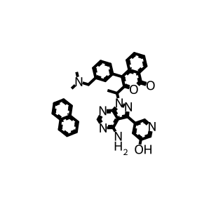 CC(c1oc(=O)c2ccccc2c1-c1cccc(CN(C)C)c1)n1nc(-c2cncc(O)c2)c2c(N)ncnc21.c1ccc2ccccc2c1